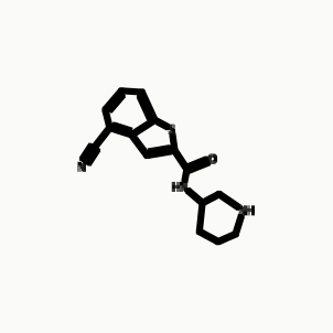 N#Cc1cccc2sc(C(=O)NC3CCCNC3)cc12